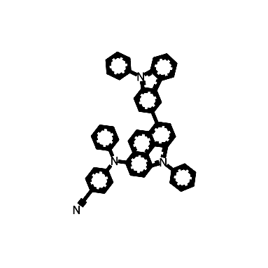 N#Cc1ccc(N(c2ccccc2)c2ccc3c4c2ccc2c(-c5ccc6c(c5)c5ccccc5n6-c5ccccc5)ccc(c24)n3-c2ccccc2)cc1